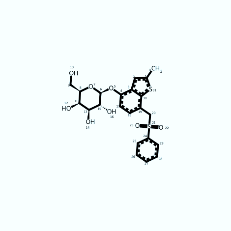 Cc1cc2c(O[C@@H]3O[C@H](CO)[C@H](O)[C@H](O)[C@H]3O)ccc(CS(=O)(=O)c3ccccc3)c2s1